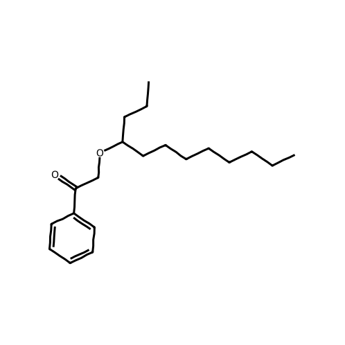 CCCCCCCCC(CCC)OCC(=O)c1ccccc1